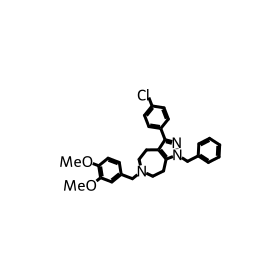 COc1ccc(CN2CCc3c(-c4ccc(Cl)cc4)nn(Cc4ccccc4)c3CC2)cc1OC